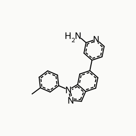 Cc1cccc(-n2ncc3ccc(-c4ccnc(N)c4)cc32)c1